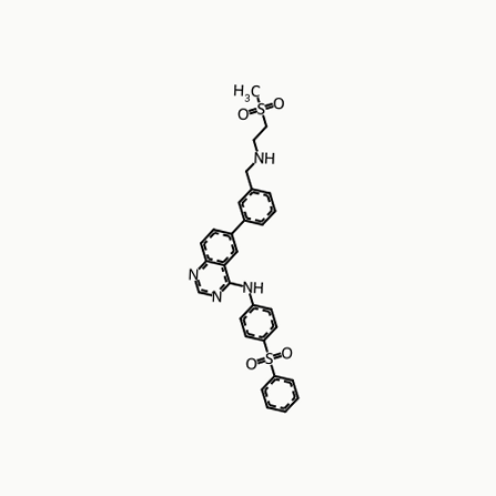 CS(=O)(=O)CCNCc1cccc(-c2ccc3ncnc(Nc4ccc(S(=O)(=O)c5ccccc5)cc4)c3c2)c1